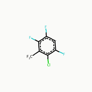 Fc1[c]c(F)c(Cl)c(C(F)(F)F)c1F